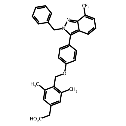 Cc1cc(CC(=O)O)cc(C)c1COc1ccc(-c2c3cccc(C(F)(F)F)c3nn2Cc2ccccc2)cc1